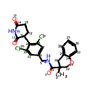 CC1(C(=O)NCc2cc(Cl)c(C3CCC(=O)NC3=O)c(Cl)c2)COc2ccccc2C1